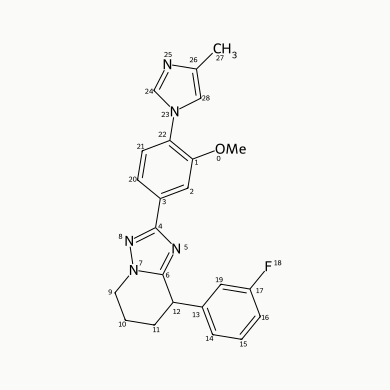 COc1cc(-c2nc3n(n2)CCCC3c2cccc(F)c2)ccc1-n1cnc(C)c1